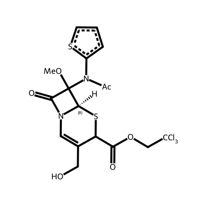 COC1(N(C(C)=O)c2cccs2)C(=O)N2C=C(CO)C(C(=O)OCC(Cl)(Cl)Cl)S[C@@H]21